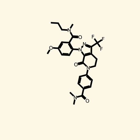 CCCN(C)C(=O)c1cc(OC)ccc1-n1nc(C(F)(F)F)c2c1C(=O)N(c1ccc(C(=O)N(C)C)cc1)CC2